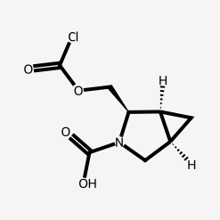 O=C(Cl)OC[C@H]1[C@H]2C[C@H]2CN1C(=O)O